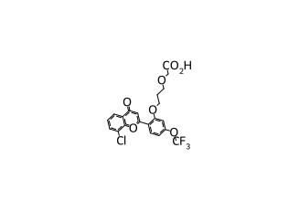 O=C(O)COCCCOc1cc(OC(F)(F)F)ccc1-c1cc(=O)c2cccc(Cl)c2o1